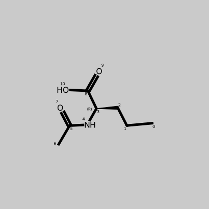 CCC[C@@H](NC(C)=O)C(=O)O